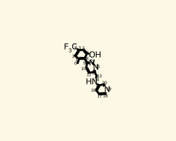 Cc1cc(C(F)(F)F)cc(O)c1-c1ccc(CNc2cccnc2)nn1